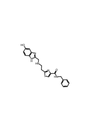 O=C(NCc1ccccc1)c1csc(CCNCc2nc3cc(O)ccc3[nH]2)n1